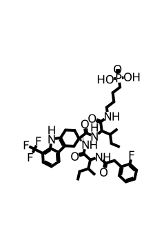 CCC(C)C(NC(=O)Cc1ccccc1F)C(=O)N[C@@]1(C(=O)NC(C(=O)NCCCCP(=O)(O)O)C(C)CC)CCc2[nH]c3c(C(F)(F)F)cccc3c2C1